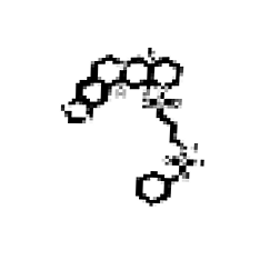 O=S(=O)(NCCCS(=O)(=O)N1CCC[C@H]2CN3CCc4cc5c(cc4[C@@H]3C[C@H]21)OCO5)NC1CCCCC1